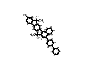 CC1(C)c2cc(Br)ccc2-c2cc3c(cc21)-c1c(cc(-c2ccc(-c4ccccc4)cc2)c2ccccc12)C3(C)C